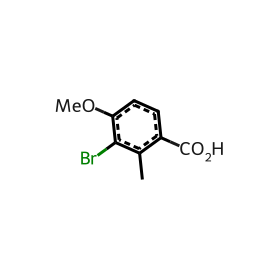 COc1ccc(C(=O)O)c(C)c1Br